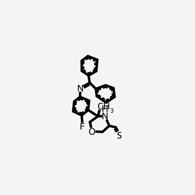 CC1(c2cc(N=C(c3ccccc3)c3ccccc3)ccc2F)COCC(C=S)N1